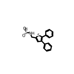 O=[SH](=O)NCc1cc(-c2ccccc2)c(-c2ccccc2)s1